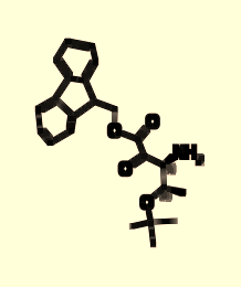 C[C@@H](OC(C)(C)C)[C@H](N)C(=O)C(=O)OCC1c2ccccc2-c2ccccc21